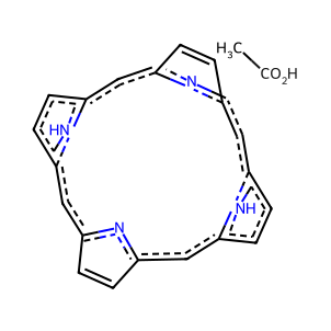 C1=Cc2cc3ccc(cc4nc(cc5ccc(cc1n2)[nH]5)C=C4)[nH]3.CC(=O)O